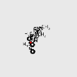 COc1cccc(OC)c1-n1c(NS(=O)(=O)[C@@H](C)[C@H](OC)c2ncc(C)cn2)nnc1-c1ccc(Oc2ccccc2)cc1